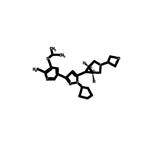 CC(C)Oc1cc(-c2cc(C3[C@H]4CN(C5COC5)C[C@@H]34)n(C3CCCC3)n2)cnc1N